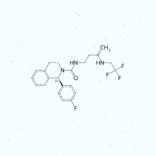 C=C(CCNC(=O)N1CCc2ccccc2[C@@H]1c1ccc(F)cc1)NCC(F)(F)F